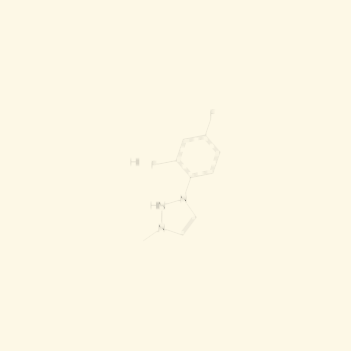 CN1C=CN(c2ccc(F)cc2F)N1.I